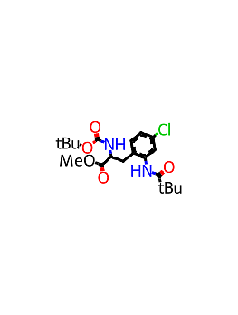 COC(=O)C(Cc1ccc(Cl)cc1NC(=O)C(C)(C)C)NC(=O)OC(C)(C)C